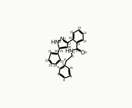 O=C(NCCc1ccccc1)c1ccccc1-c1cc(-c2ccccc2)[nH]n1